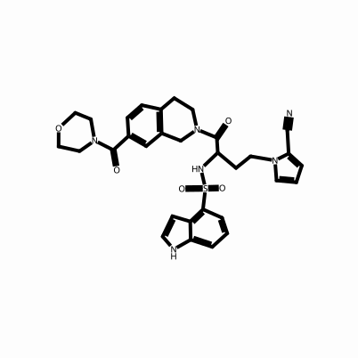 N#Cc1cccn1CCC(NS(=O)(=O)c1cccc2[nH]ccc12)C(=O)N1CCc2ccc(C(=O)N3CCOCC3)cc2C1